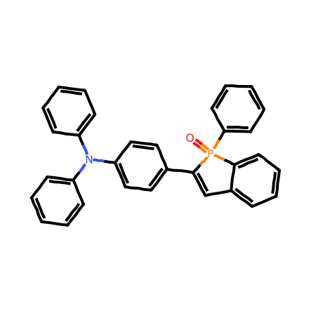 O=P1(c2ccccc2)C(c2ccc(N(c3ccccc3)c3ccccc3)cc2)=Cc2ccccc21